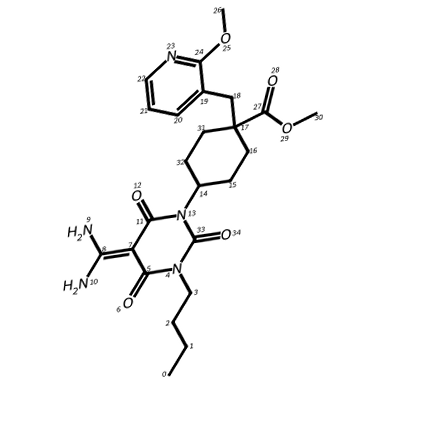 CCCCN1C(=O)C(=C(N)N)C(=O)N(C2CCC(Cc3cccnc3OC)(C(=O)OC)CC2)C1=O